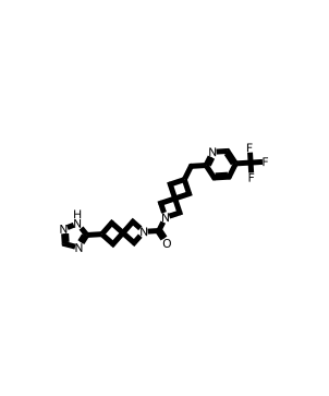 O=C(N1CC2(CC(Cc3ccc(C(F)(F)F)cn3)C2)C1)N1CC2(CC(c3ncn[nH]3)C2)C1